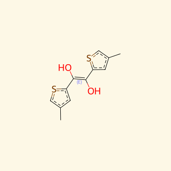 Cc1csc(/C(O)=C(\O)c2cc(C)cs2)c1